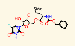 CSCC[C@H](NC(=O)OCc1ccccc1)C(=O)OC[C@H]1O[C@@H](n2cc(F)c(=O)[nH]c2=O)[C@H](O)[C@@H]1O